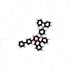 c1ccc(-c2ccc(-c3ccc(N(c4ccc(-n5c6ccccc6c6ccccc65)cc4)c4ccccc4-c4cccc5ccccc45)cc3)cc2)cc1